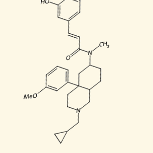 COc1cccc(C23CCN(CC4CC4)CC2CCC(N(C)C(=O)/C=C/c2cccc(O)c2)C3)c1